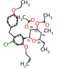 C=CCOc1cc(Cl)c(Cc2ccc(OCC)cc2)cc1[C@@H]1O[C@H](CC)[C@@H](C)[C@H](OC(C)=O)[C@H]1OC(C)=O